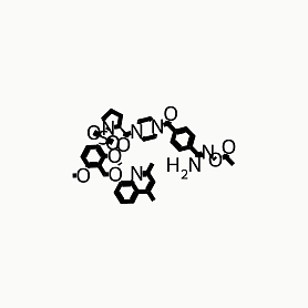 COc1ccc(S(=O)(=O)N2CCC[C@H]2C(=O)N2CCN(C(=O)c3ccc(C(N)=NOC(C)=O)cc3)CC2)c(OC)c1COc1cccc2c(C)cc(C)nc12